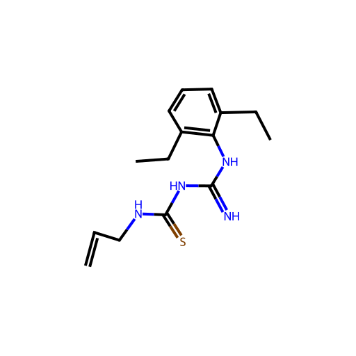 C=CCNC(=S)NC(=N)Nc1c(CC)cccc1CC